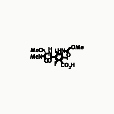 CNC(=O)[C@H](COC)NC(=O)c1c(I)c(NC(=O)COC)c(I)c(C(=O)O)c1I